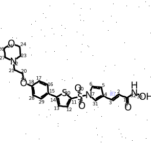 O=C(/C=C/c1ccn(S(=O)(=O)c2ccc(-c3ccc(OCCN4CCOCC4)cc3)s2)c1)NO